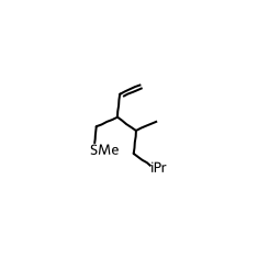 C=CC(CSC)C(C)CC(C)C